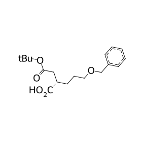 CC(C)(C)OC(=O)C[C@H](CCCOCc1ccccc1)C(=O)O